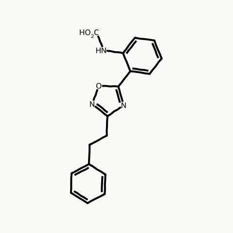 O=C(O)Nc1ccccc1-c1nc(CCc2ccccc2)no1